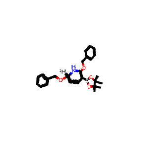 [2H]C1(OCc2ccccc2)C=CC(B2OC(C)(C)C(C)(C)O2)=C(OCc2ccccc2)N1